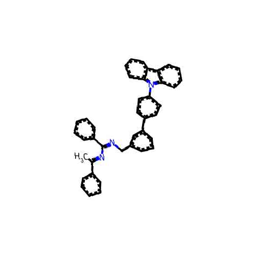 C/C(=N\C(=N/Cc1cccc(-c2ccc(-n3c4ccccc4c4ccccc43)cc2)c1)c1ccccc1)c1ccccc1